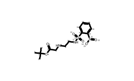 CC(C)(C)OC(=O)CNCCNS(=O)(=O)c1ccccc1[N+](=O)[O-]